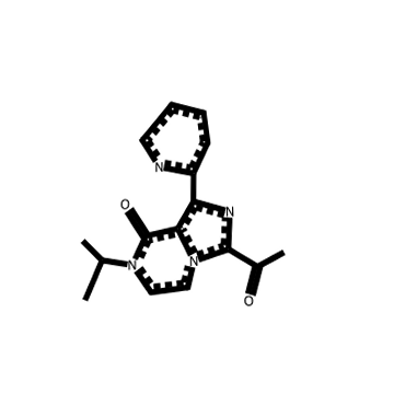 CC(=O)c1nc(-c2ccccn2)c2c(=O)n(C(C)C)ccn12